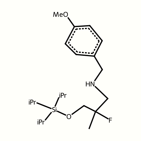 COc1ccc(CNCC(C)(F)CO[Si](C(C)C)(C(C)C)C(C)C)cc1